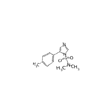 Cc1ccc(-c2cncn2S(=O)(=O)N(C)C)cc1